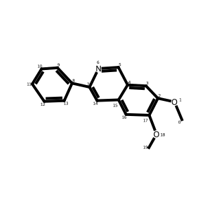 COc1cc2cnc(-c3ccccc3)cc2cc1OC